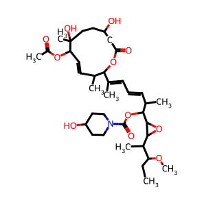 CCC(OC)C(C)C1OC1C(OC(=O)N1CCC(O)CC1)C(C)/C=C/C=C(\C)C1OC(=O)CC(O)CCC(C)(O)C(OC(C)=O)/C=C/C1C